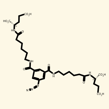 [N-]=[N+]=Nc1cc(C(=O)NCCCCCC(=O)N[C@@H](CCC(=O)O)C(=O)O)cc(C(=O)NCCCCCC(=O)N[C@@H](CCC(=O)O)C(=O)O)c1